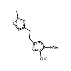 CNc1cc(CCc2cnn(C)c2)sc1C=O